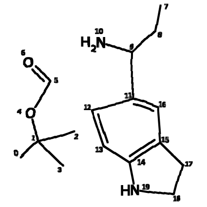 CC(C)(C)OC=O.CCC(N)c1ccc2c(c1)CCN2